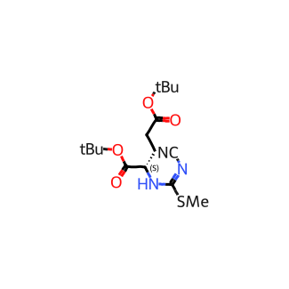 CSC(=NC#N)N[C@@H](CCC(=O)OC(C)(C)C)C(=O)OC(C)(C)C